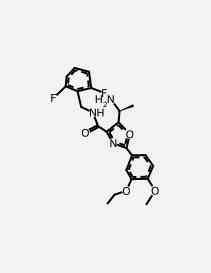 CCOc1cc(-c2nc(C(=O)NCc3c(F)cccc3F)c([C@H](C)N)o2)ccc1OC